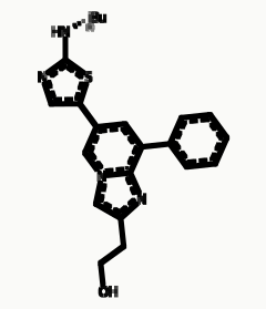 CC[C@@H](C)Nc1ncc(-c2cc(-c3ccccc3)c3nc(CCO)cn3c2)s1